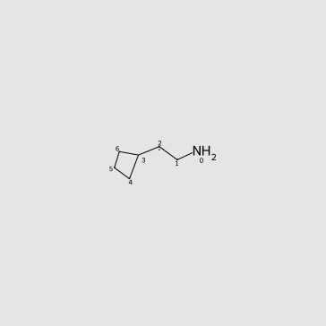 NC[CH]C1CCC1